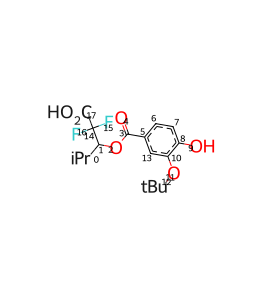 CC(C)C(OC(=O)c1ccc(O)c(OC(C)(C)C)c1)C(F)(F)C(=O)O